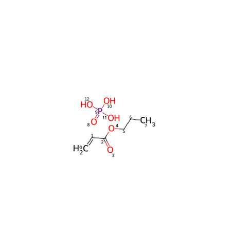 C=CC(=O)OCCC.O=P(O)(O)O